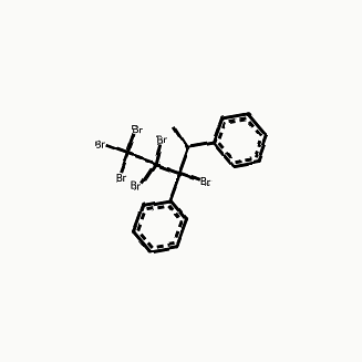 CC(c1ccccc1)C(Br)(c1ccccc1)C(Br)(Br)C(Br)(Br)Br